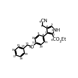 CCOC(=O)c1[nH]cc(CC#N)c1-c1ccc(OCc2ccccc2)cc1